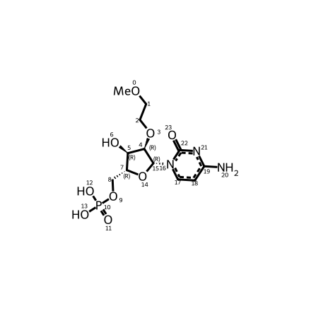 COCCO[C@@H]1[C@H](O)[C@@H](COP(=O)(O)O)O[C@H]1n1ccc(N)nc1=O